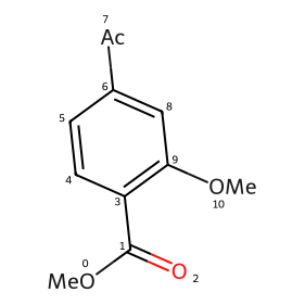 COC(=O)c1ccc(C(C)=O)cc1OC